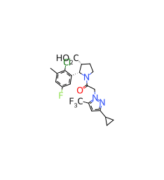 Cc1cc(F)cc([C@@H]2[C@H](C(=O)O)CCN2C(=O)Cn2nc(C3CC3)cc2C(F)(F)F)c1Cl